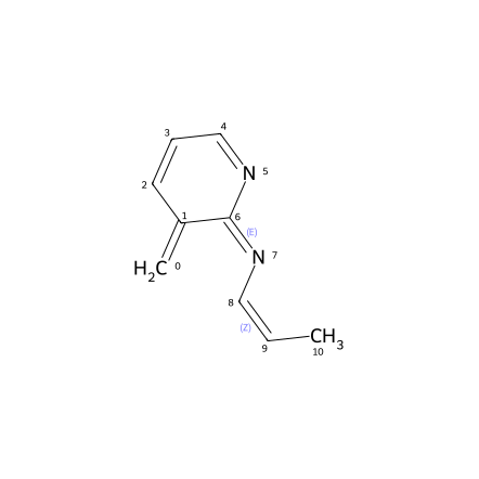 C=C1C=CC=N/C1=N/C=C\C